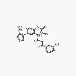 COc1cc(NC(=O)OC(C)(C)C)c(NC(=O)CC(=O)c2cccc(C#N)c2)cc1-n1cccc1C(C)(C)C